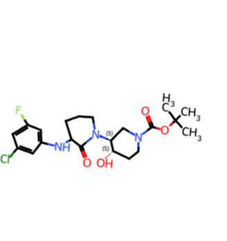 CC(C)(C)OC(=O)N1CC[C@H](O)[C@@H](N2CCCC(Nc3cc(F)cc(Cl)c3)C2=O)C1